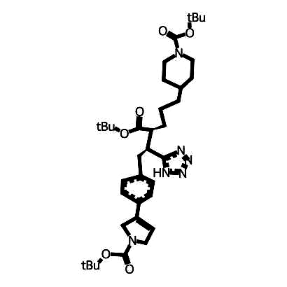 CC(C)(C)OC(=O)[C@@H](CCCC1CCN(C(=O)OC(C)(C)C)CC1)[C@H](Cc1ccc(C2=CCN(C(=O)OC(C)(C)C)C2)cc1)c1nnn[nH]1